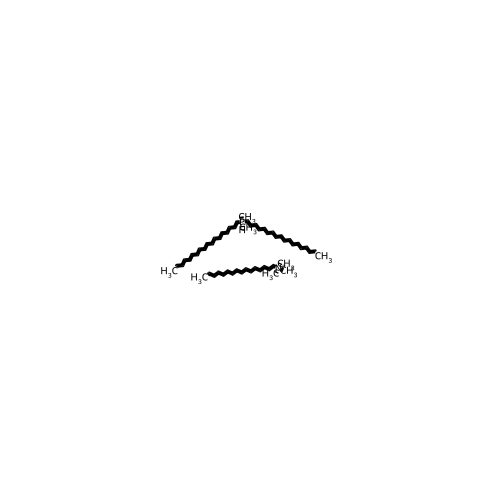 CCCCCCCCCCCCCCCCCC[PH](C)(C)CCCCCCCCCCCCCCCCCC.CCCCCCCCCCCCCCCC[N+](C)(C)C